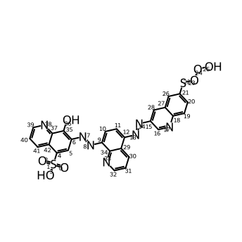 O=S(=O)(O)c1cc(/N=N/c2ccc(/N=N/c3cnc4ccc(SOOO)cc4c3)c3cccnc23)c(O)c2ncccc12